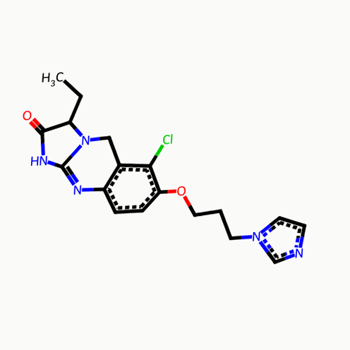 CCC1C(=O)NC2=Nc3ccc(OCCCn4ccnc4)c(Cl)c3CN21